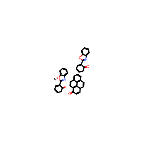 O=C1C=CC2C=Cc3cccc4ccc1c2c34.O=C1CC=CC=C1c1nc2ccccc2o1.O=C1CC=CC=C1c1nc2ccccc2o1.[Al]